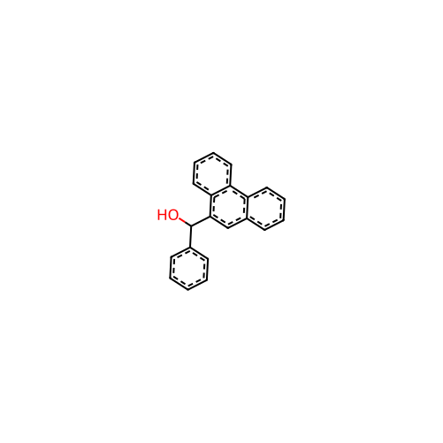 OC(c1ccccc1)c1cc2ccccc2c2ccccc12